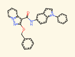 O=C(Nc1ccc2c(ccn2-c2ccccc2)c1)c1c(OCc2ccccc2)nn2ccccc12